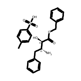 Cc1ccc(S(=O)(=O)O)cc1.N[C@H](Cc1ccccc1)[C@@H](O)C(=O)OCc1ccccc1